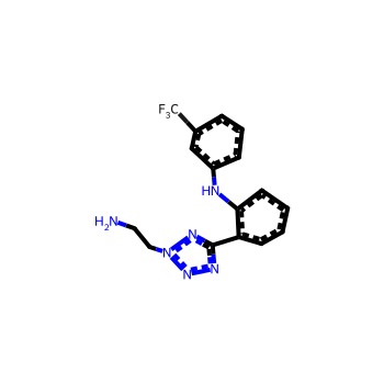 NCCn1nnc(-c2ccccc2Nc2cccc(C(F)(F)F)c2)n1